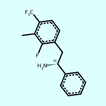 [CH2]c1c(C(F)(F)F)ccc(C[C@@H](N)c2ccccc2)c1F